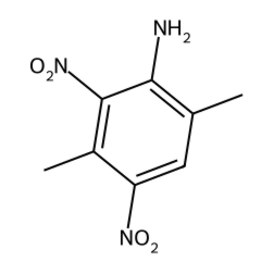 Cc1cc([N+](=O)[O-])c(C)c([N+](=O)[O-])c1N